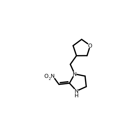 O=[N+]([O-])C=C1NCCN1CC1CCOC1